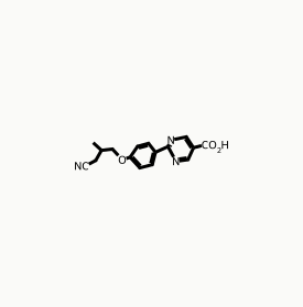 CC(CC#N)COc1ccc(-c2ncc(C(=O)O)cn2)cc1